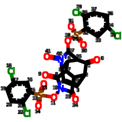 O=C1C2C=CC3C(C4C(=O)N(OS(=O)(=O)c5cc(Cl)ccc5Cl)C(=O)C24)C1C(OS(=O)(=O)c1cc(Cl)ccc1Cl)[N+]3=O